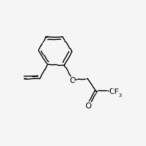 C=Cc1ccccc1OCC(=O)C(F)(F)F